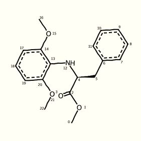 COC(=O)[C@H](Cc1ccccc1)Nc1c(OC)cccc1OC